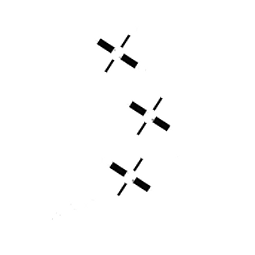 O=S(=O)([O-])[O-].O=S(=O)([O-])[O-].O=S(=O)([O-])[O-].[O-2].[Sc+3].[Sc+3].[Zn+2]